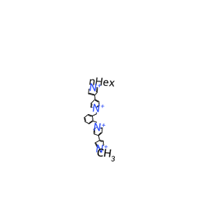 CCCCCC[n+]1ccc(-c2cc[n+](Cc3ccccc3C[n+]3ccc(-c4cc[n+](C)cc4)cc3)cc2)cc1